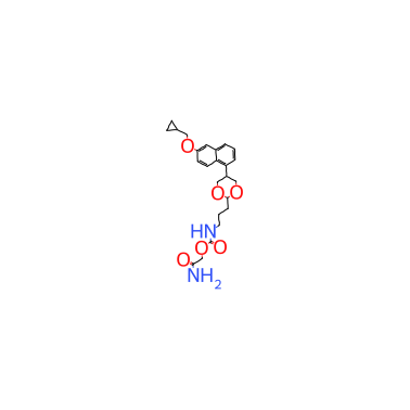 NC(=O)COC(=O)NCCCC1OCC(c2cccc3cc(OCC4CC4)ccc23)CO1